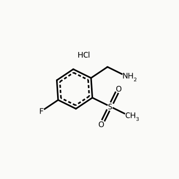 CS(=O)(=O)c1cc(F)ccc1CN.Cl